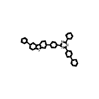 c1ccc(-c2ccc(-c3nc(-c4ccccc4)nc(-c4ccc(-c5ccc6c(c5)sc5ccc(-c7ccccc7)cc56)cc4)n3)cc2)cc1